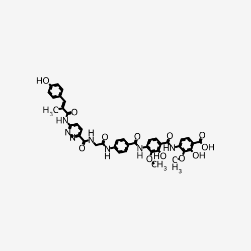 COc1c(NC(=O)c2ccc(NC(=O)c3ccc(NC(=O)CNC(=O)c4ccc(NC(=O)/C(C)=C/c5ccc(O)cc5)nn4)cc3)c(OC)c2O)ccc(C(=O)O)c1O